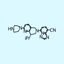 CC(C)[C@@H]1CN(c2ccc(C#N)c3ncnn23)Cc2ccc(N3CCNCC3)nc21